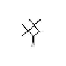 CC1(C)NC(=O)C1(C)C